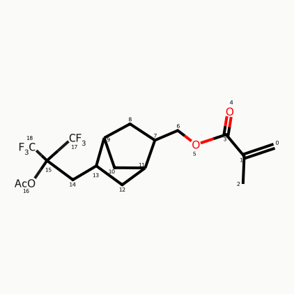 C=C(C)C(=O)OCC1CC2CC1CC2CC(OC(C)=O)(C(F)(F)F)C(F)(F)F